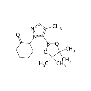 Cc1cnn(C2CCCCC2=O)c1B1OC(C)(C)C(C)(C)O1